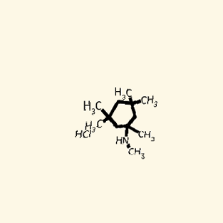 CNC1(C)CC(C)(C)CC(C)(C)C1.Cl